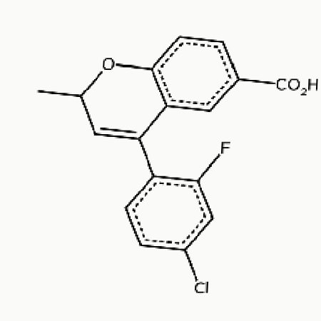 CC1C=C(c2ccc(Cl)cc2F)c2cc(C(=O)O)ccc2O1